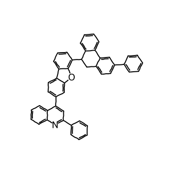 c1ccc(-c2ccc3c(c2)-c2ccccc2C(c2cccc4c2oc2cc(-c5cc(-c6ccccc6)nc6ccccc56)ccc24)C3)cc1